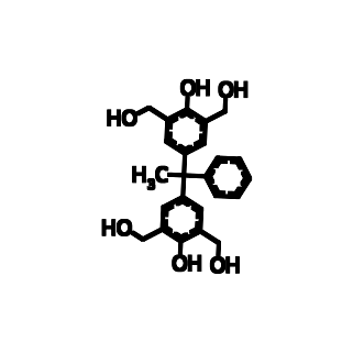 CC(c1ccccc1)(c1cc(CO)c(O)c(CO)c1)c1cc(CO)c(O)c(CO)c1